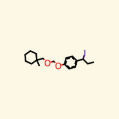 CCC(I)c1ccc(OCOCC2(C)CCCCC2)cc1